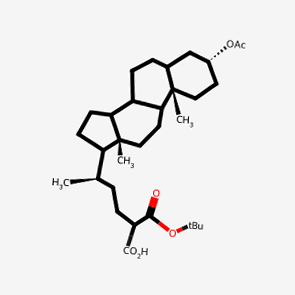 CC(=O)O[C@@H]1CC[C@@]2(C)C(CCC3C2CC[C@@]2(C)C3CCC2[C@H](C)CCC(C(=O)O)C(=O)OC(C)(C)C)C1